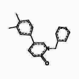 Cc1ccc(-c2ccc(=O)n(Cc3ccccc3)c2)cc1C